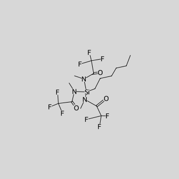 CCCCCC[Si](N(C)C(=O)C(F)(F)F)(N(C)C(=O)C(F)(F)F)N(C)C(=O)C(F)(F)F